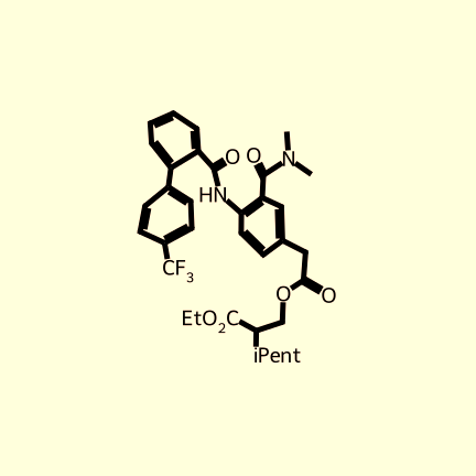 CCCC(C)C(COC(=O)Cc1ccc(NC(=O)c2ccccc2-c2ccc(C(F)(F)F)cc2)c(C(=O)N(C)C)c1)C(=O)OCC